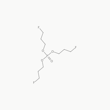 O=P(OCCCF)(OCCCF)OCCCF